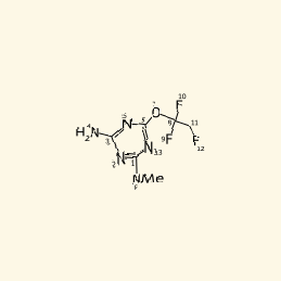 CNc1nc(N)nc(OC(F)(F)CF)n1